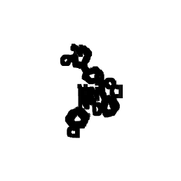 CN1CCC(C2CCN(C(=O)[C@H](NC(=O)Nc3ccc(Cl)cc3)c3ccccc3Cl)CC2)CC1=O